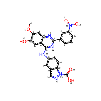 COc1cc2nc(-c3cccc([N+](=O)[O-])c3)nc(Nc3ccc4c(cnn4C(=O)O)c3)c2cc1O